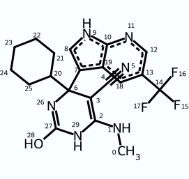 CNC1=C(C#N)C(c2c[nH]c3ncc(C(F)(F)F)cc23)(C2CCCCC2)N=C(O)N1